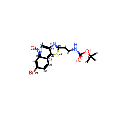 CC(C)(C)OC(=O)NCCc1nc2c[n+]([O-])c3cc(Br)ccc3c2s1